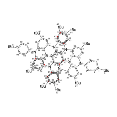 CC(C)(C)c1ccc(N2c3cc(C(C)(C)C)cc4c3[Si]3(c5ccccc5)c5c2cc(C(C)(C)C)cc5N(c2ccc(C(C)(C)C)cc2)c2c5c6c(c(c23)N4c2ccc(C(C)(C)C)cc2)N(c2ccc(C(C)(C)C)cc2)c2cc(C(C)(C)C)cc3c2[Si]6(c2ccccc2)c2c(cc(C(C)(C)C)cc2N5c2ccc(C(C)(C)C)cc2)N3c2ccc(C(C)(C)C)cc2)cc1